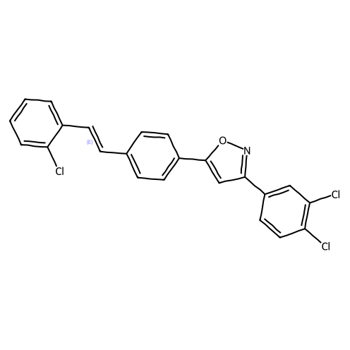 Clc1ccc(-c2cc(-c3ccc(/C=C/c4ccccc4Cl)cc3)on2)cc1Cl